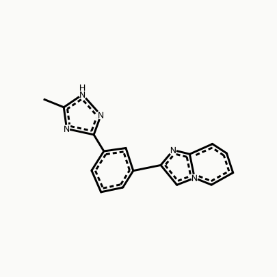 Cc1nc(-c2cccc(-c3cn4ccccc4n3)c2)n[nH]1